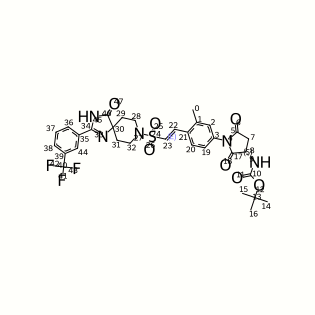 Cc1cc(N2C(=O)C[C@H](NC(=O)OC(C)(C)C)C2=O)ccc1/C=C/S(=O)(=O)N1CCC2(CC1)N=C(c1cccc(C(F)(F)F)c1)NC2=O